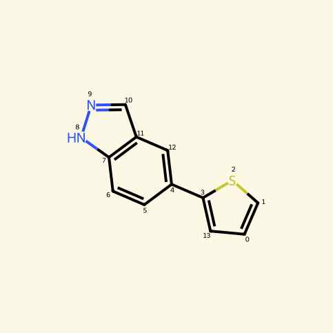 c1csc(-c2ccc3[nH]ncc3c2)c1